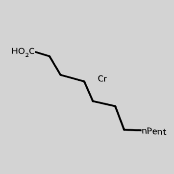 CCCCCCCCCCCC(=O)O.[Cr]